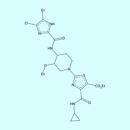 CCOC(=O)c1sc(N2CCC(NC(=O)c3nc(Cl)c(CC)[nH]3)C(OCC)C2)nc1C(=O)NC1CC1